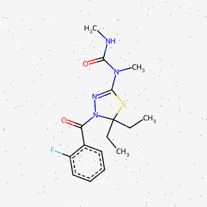 CCC1(CC)SC(N(C)C(=O)NC)=NN1C(=O)c1ccccc1F